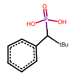 CC(C)(C)C(c1ccccc1)P(=O)(O)O